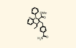 CC=C1C(Cc2ccc(C(N)=O)cc2)=C(C(=O)OC)N(c2ccccc2)c2ncccc21